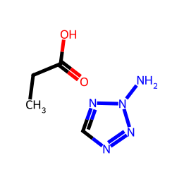 CCC(=O)O.Nn1ncnn1